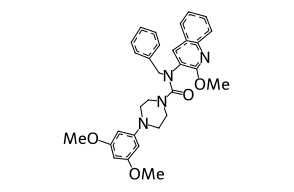 COc1cc(OC)cc(N2CCN(C(=O)N(Cc3ccccc3)c3cc4ccccc4nc3OC)CC2)c1